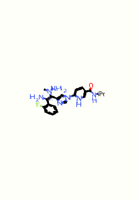 CC(C)NC(=O)C1=CNC(n2cnc(/C(=C(/N)c3ccccc3F)N(C)N)c2)C=C1